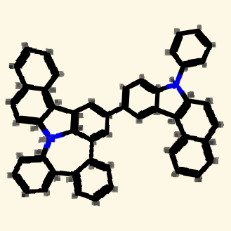 c1ccc(-n2c3ccc(-c4cc5c6c(c4)c4c7ccccc7ccc4n6-c4ccccc4-c4ccccc4-5)cc3c3c4ccccc4ccc32)cc1